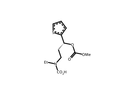 CCN(CC[C@@H](OC(=O)OC)c1cccs1)C(=O)O